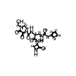 CCN1CCN(C(=O)NC(CNC(=O)Cc2cccs2)C(=O)NC2CNC2=O)C(=O)C1=O